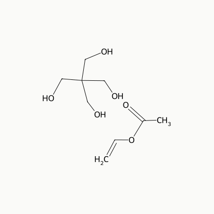 C=COC(C)=O.OCC(CO)(CO)CO